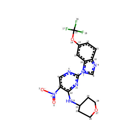 O=[N+]([O-])c1cnc(-n2cnc3ccc(OC(F)(F)F)cc32)nc1NC1CCOCC1